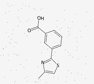 Cc1csc(-c2cccc(C(=O)O)c2)n1